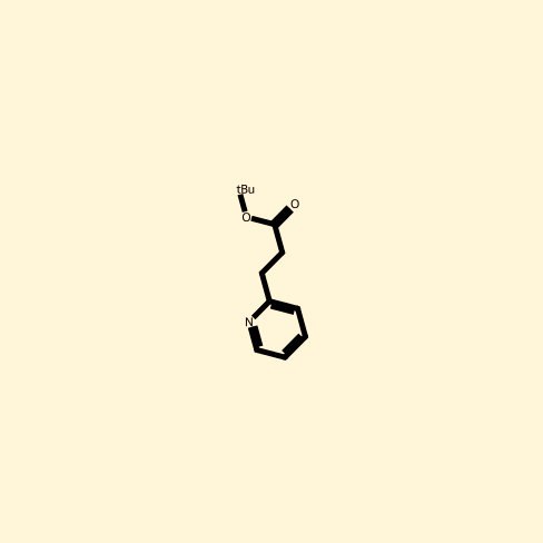 CC(C)(C)OC(=O)CCc1ccccn1